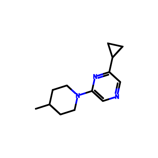 CC1CCN(c2cncc(C3CC3)n2)CC1